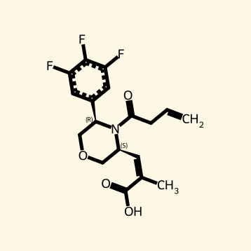 C=CCC(=O)N1[C@@H](C=C(C)C(=O)O)COC[C@H]1c1cc(F)c(F)c(F)c1